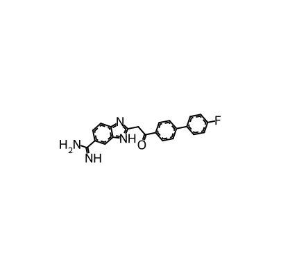 N=C(N)c1ccc2nc(CC(=O)c3ccc(-c4ccc(F)cc4)cc3)[nH]c2c1